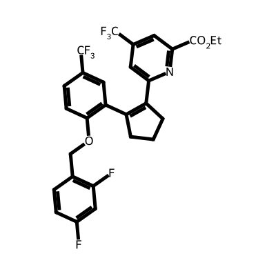 CCOC(=O)c1cc(C(F)(F)F)cc(C2=C(c3cc(C(F)(F)F)ccc3OCc3ccc(F)cc3F)CCC2)n1